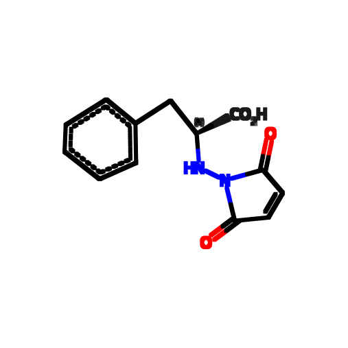 O=C(O)[C@H](Cc1ccccc1)NN1C(=O)C=CC1=O